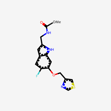 COC(=O)NCc1cc2cc(F)c(OCc3cscn3)cc2[nH]1